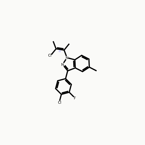 C/C(Cl)=C(\C)n1nc(-c2ccc(Cl)c(F)c2)c2cc(C)ccc21